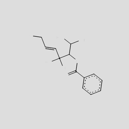 CC(C)C(OC(=O)c1ccccc1)C(C)(O)/C=C/CO